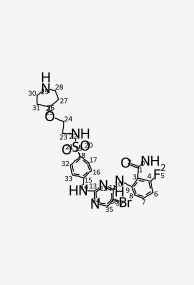 NC(=O)c1c(F)cccc1Nc1nc(Nc2ccc(S(=O)(=O)NCCOC3CCNCC3)cc2)ncc1Br